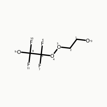 [O]CCOOC(F)(F)C([O])(F)F